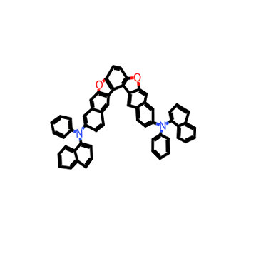 c1ccc(N(c2ccc3cc4c(cc3c2)oc2ccc3oc5cc6cc(N(c7ccccc7)c7cccc8ccccc78)ccc6cc5c3c24)c2cccc3ccccc23)cc1